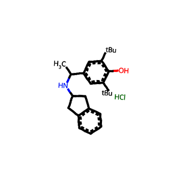 CC(NC1Cc2ccccc2C1)c1cc(C(C)(C)C)c(O)c(C(C)(C)C)c1.Cl